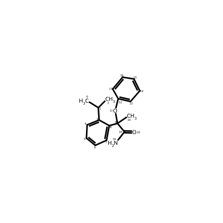 CC(C)c1ccccc1C(C)(Oc1ccccc1)C(N)=O